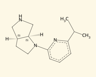 CC(C)c1cccc(N2CC[C@H]3CNC[C@H]32)n1